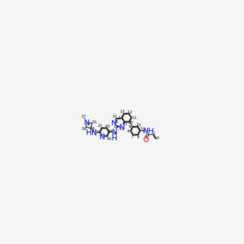 C=CC(=O)Nc1cccc(-c2cccc3cnc(Nc4ccc(NC5CN(C)C5)nc4)nc23)c1